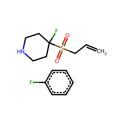 C=CCS(=O)(=O)C1(F)CCNCC1.Fc1ccccc1